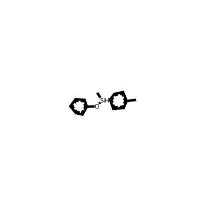 Cc1ccc([SiH](C)Oc2ccccc2)cc1